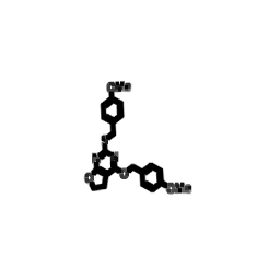 COc1ccc(COc2nc(SCc3ccc(OC)cc3)nc3c2CCO3)cc1